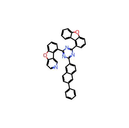 c1ccc(-c2ccc3cc(-c4nc(-c5cccc6oc7ccccc7c56)nc(-c5cccc6oc7ccncc7c56)n4)ccc3c2)cc1